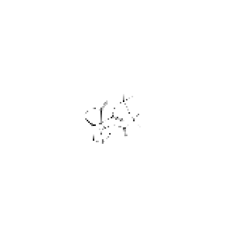 CCC(C)(C)C(=O)OC1C2CC3C1OC(=O)C3(C(=O)OC(C)(C)C(C)C)C2